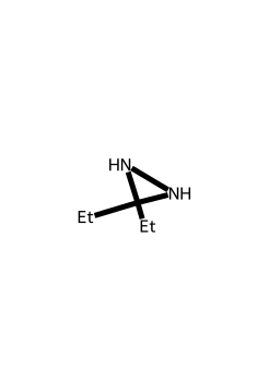 CCC1(CC)NN1